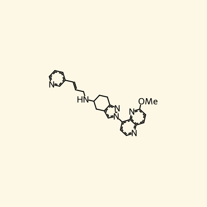 COc1ccc2nccc(-n3cc4c(n3)CCC(NCC=Cc3cccnc3)C4)c2n1